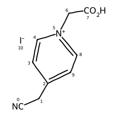 N#CCc1cc[n+](CC(=O)O)cc1.[I-]